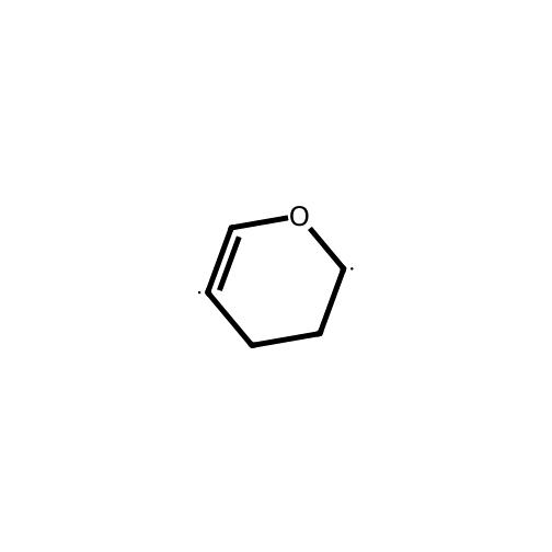 [C]1=CO[CH]CC1